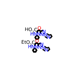 CCOC(=O)c1c(=O)c2cnc(N3CCN4CCCC4C3)nc2n2c1[nH]c1ccccc12.O=C(O)c1c(=O)c2cnc(N3CCN4CCCC4C3)nc2n2c1[nH]c1ccccc12